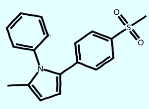 Cc1ccc(-c2ccc(S(C)(=O)=O)cc2)n1-c1[c]cccc1